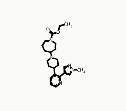 CCOC(=O)N1CCCC(N2CCC(c3cccnc3-c3cnn(C)c3)CC2)CC1